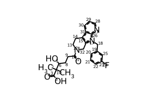 CC(C)(C(=O)O)C(O)CCC(=O)N1CCc2c(n(Cc3cccc(F)c3)c3ncccc23)C1